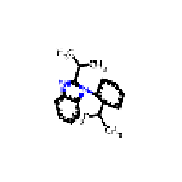 CC(C)c1ccccc1-n1c(C(C)C)nc2ccccc21